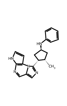 C[C@H]1C[C@H](Nc2ccccc2)C[C@H]1c1ncc2cnc3[nH]ccc3n12